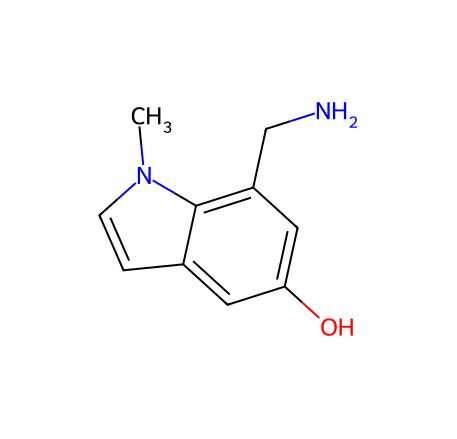 Cn1ccc2cc(O)cc(CN)c21